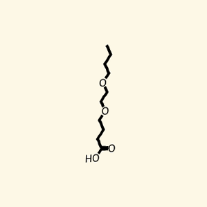 CCCCOCCOCCCC(=O)O